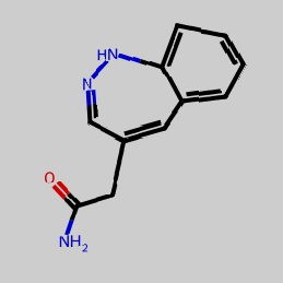 NC(=O)CC1=Cc2ccccc2NN=C1